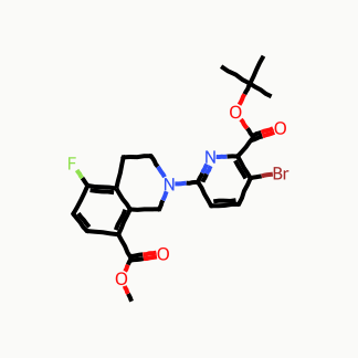 COC(=O)c1ccc(F)c2c1CN(c1ccc(Br)c(C(=O)OC(C)(C)C)n1)CC2